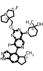 C[C@H]1CCc2cc3[nH]ncc3c(-c3ncc4c(N5CCC[C@@](C)(O)C5)nc(OC[C@@]56CCCN5C[C@H](F)C6)nc4c3F)c21